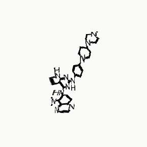 CN1CCN(C2CCN(c3ccc(Nc4nc(Nc5ccc6nccnc6c5N(C)C)c5cc[nH]c5n4)cc3)CC2)CC1